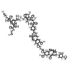 COc1ccc(C2=CN3C(=O)c4cc(OC)c(OCCCOc5cc6c(cc5OC)CN5C=C(c7ccc(NC(=O)[C@H](C)NC(=O)[C@@H](NC(=O)CCCNc8cc(NC(=O)CCSC)nc(NC(=O)CCSC)n8)C(C)C)cc7)C[C@H]5C=N6)cc4N=C[C@@H]3C2)cc1